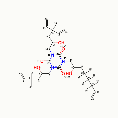 C=CC(C)(C)CC(O)Cn1c(=O)n(CC(O)CC(C)(C=C)C=C)c(=O)n(CC(O)CC(C)(C)C(C)(C)C(C)(C)C=C)c1=O